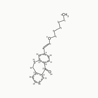 CCCCCCOC=Cc1ccc2c(c1)SCc1ccccc1C2=O